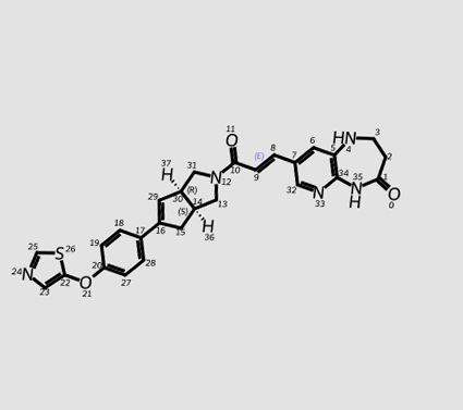 O=C1CCNc2cc(/C=C/C(=O)N3C[C@H]4CC(c5ccc(Oc6cncs6)cc5)=C[C@H]4C3)cnc2N1